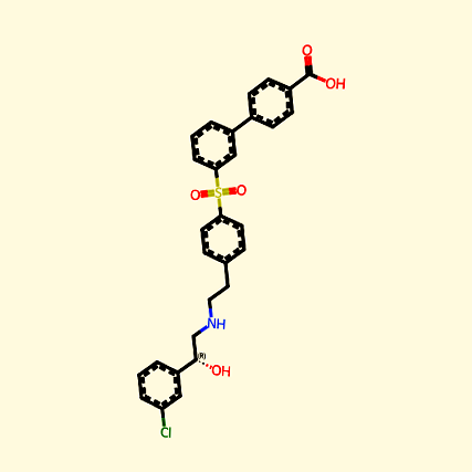 O=C(O)c1ccc(-c2cccc(S(=O)(=O)c3ccc(CCNC[C@H](O)c4cccc(Cl)c4)cc3)c2)cc1